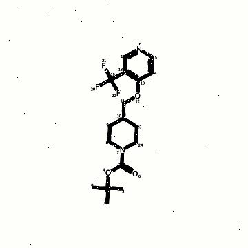 CC(C)(C)OC(=O)N1CCC(COc2ccncc2C(F)(F)F)CC1